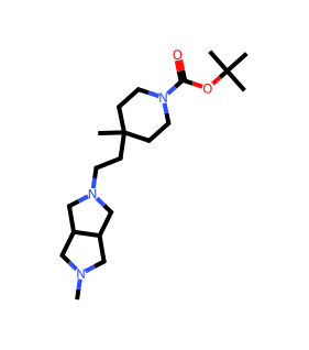 CN1CC2CN(CCC3(C)CCN(C(=O)OC(C)(C)C)CC3)CC2C1